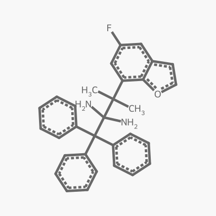 CC(C)(c1cc(F)cc2ccoc12)C(N)(N)C(c1ccccc1)(c1ccccc1)c1ccccc1